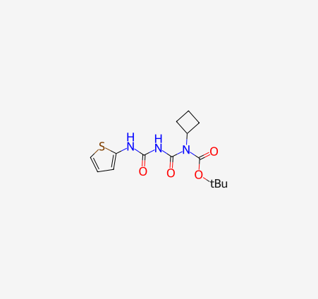 CC(C)(C)OC(=O)N(C(=O)NC(=O)Nc1cccs1)C1CCC1